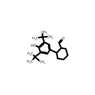 CC(C)(C)c1cc(C2CCCCC2[C]=O)cc(C(C)(C)C)c1O